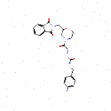 Nc1ccc(CNC(=O)NCC(=O)N2CCOC(CN3C(=O)c4ccccc4C3=O)C2)cc1